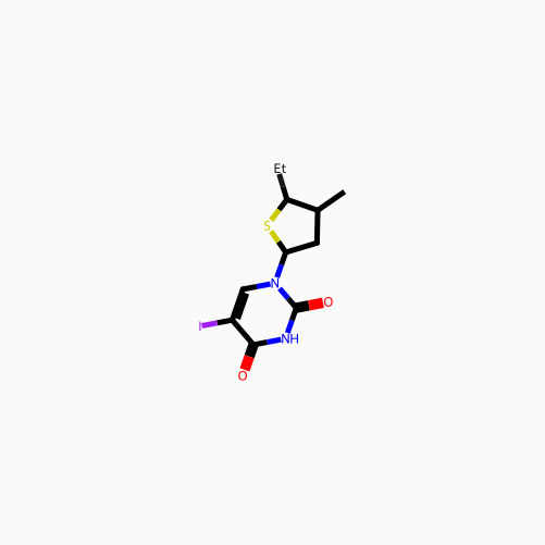 CCC1SC(n2cc(I)c(=O)[nH]c2=O)CC1C